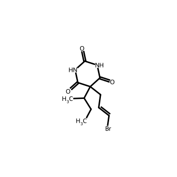 CCC(C)C1(CC=CBr)C(=O)NC(=O)NC1=O